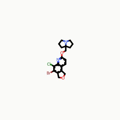 Clc1c(Br)c2c(c3ccc(OCC45CCCN4CCC5)nc13)COC2